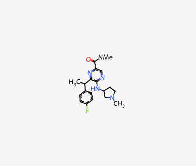 CNC(=O)c1cnc(NC2CCN(C)C2)c([C@H](C)c2ccc(F)cc2)n1